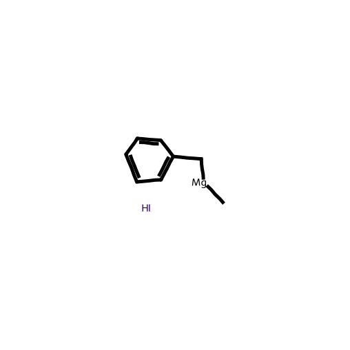 I.[CH3][Mg][CH2]c1ccccc1